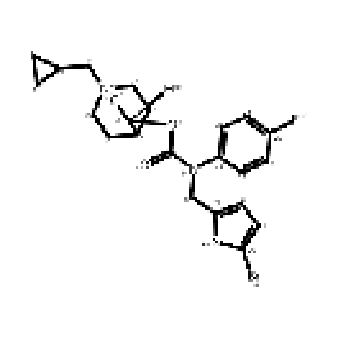 O=C(O[C@H]1C[N+]2(CC3CC3)CCC1CC2)N(Cc1ccc(Br)s1)c1ccc(F)cc1